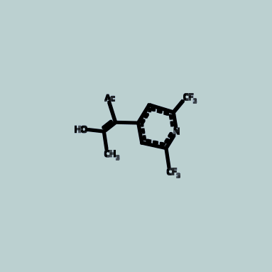 CC(=O)/C(=C(/C)O)c1cc(C(F)(F)F)nc(C(F)(F)F)c1